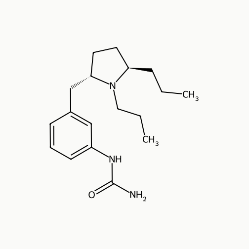 CCC[C@@H]1CC[C@@H](Cc2cccc(NC(N)=O)c2)N1CCC